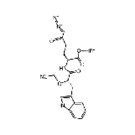 CC(C)OC(=O)[C@H](CCC(=O)C=[N+]=[N-])NC(=O)[C@H](Cc1c[nH]c2ccccc12)OCC#N